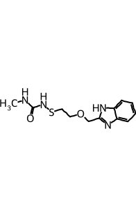 CNC(=O)NSCCOCc1nc2ccccc2[nH]1